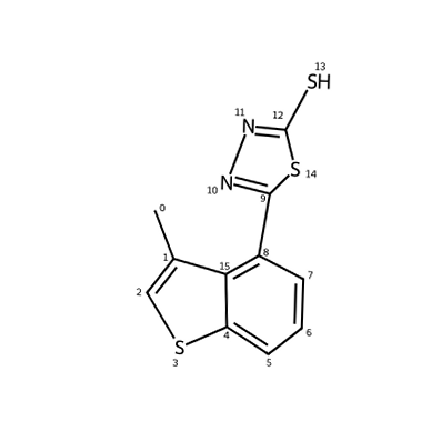 Cc1csc2cccc(-c3nnc(S)s3)c12